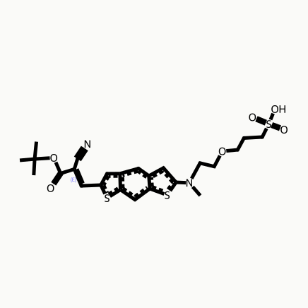 CN(CCOCCCS(=O)(=O)O)c1cc2cc3cc(/C=C(\C#N)C(=O)OC(C)(C)C)sc3cc2s1